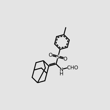 Cc1ccc(S(=O)(=O)C(NC=O)=C2C3CC4CC(C3)CC2C4)cc1